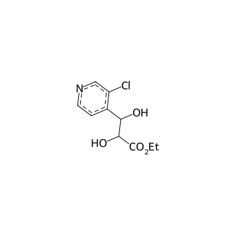 CCOC(=O)C(O)C(O)c1ccncc1Cl